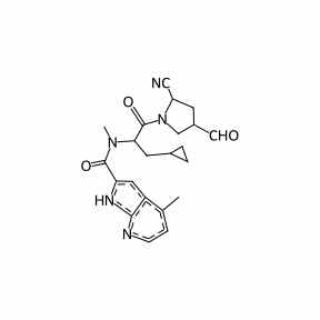 Cc1ccnc2[nH]c(C(=O)N(C)C(CC3CC3)C(=O)N3CC(C=O)CC3C#N)cc12